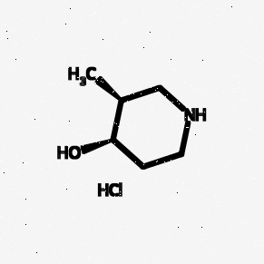 C[C@H]1CNCC[C@H]1O.Cl